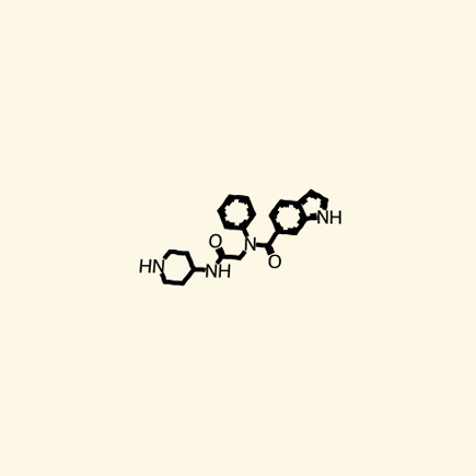 O=C(CN(C(=O)c1ccc2cc[nH]c2c1)c1ccccc1)NC1CCNCC1